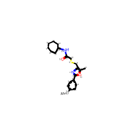 COc1ccc(-c2nc(CSCC(=O)NC3CCCCCC3)c(C)o2)cc1